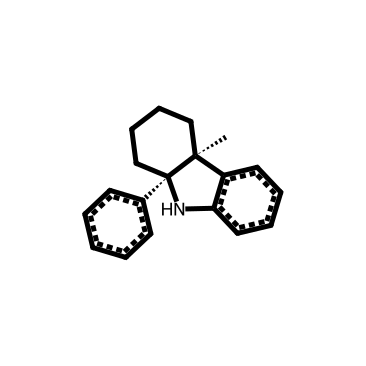 C[C@@]12CCCC[C@]1(c1ccccc1)Nc1ccccc12